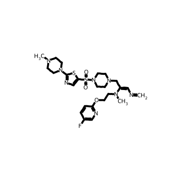 C=N/C=C(/CN1CCN(S(=O)(=O)c2cnc(N3CCN(C)CC3)s2)CC1)N(C)CCOc1ccc(F)cn1